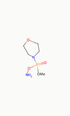 COP(=O)(ON)N1CCOCC1